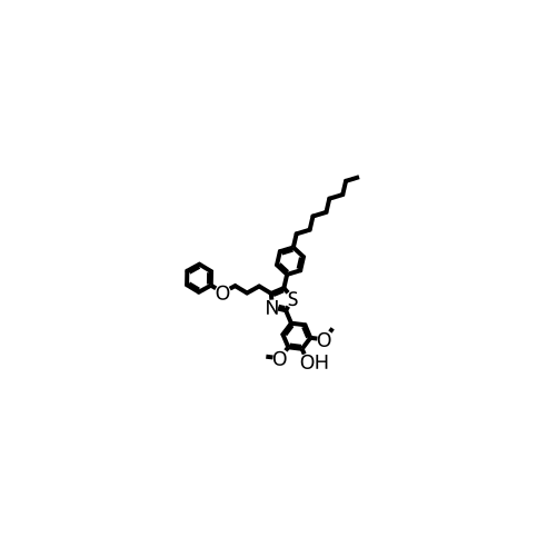 CCCCCCCCc1ccc(-c2sc(-c3cc(OC)c(O)c(OC)c3)nc2CCCOc2ccccc2)cc1